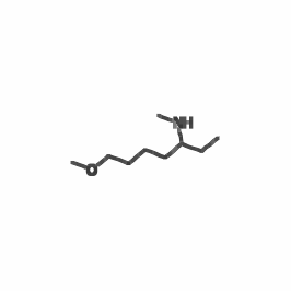 CCC(CCCCOC)NC